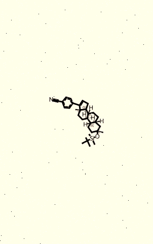 CC(C)(C)[Si](C)(C)O[C@]1(C)CC[C@H]2[C@H](CC[C@@H]3[C@@H]2CC[C@]2(C)C(c4ccc(C#N)cc4)=CC[C@@H]32)C1